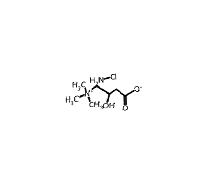 C[N+](C)(C)CC(O)CC(=O)[O-].NCl